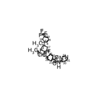 CN(C)[C@H]1C[C@@H](C2(C)C=CC=C(C(F)(F)F)C2)CC[C@@H]1Oc1ccc(S(=O)(=O)Nc2ccncn2)cc1F